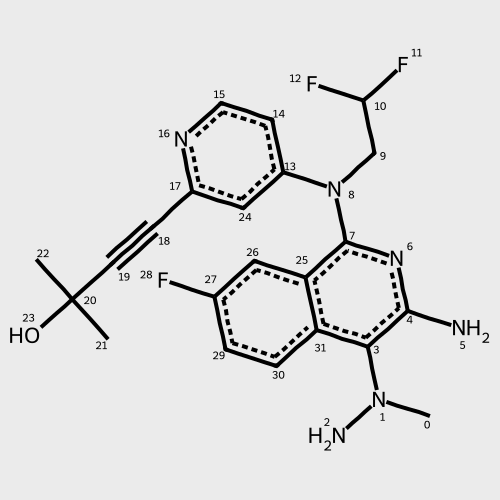 CN(N)c1c(N)nc(N(CC(F)F)c2ccnc(C#CC(C)(C)O)c2)c2cc(F)ccc12